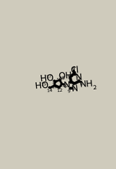 Nc1nc(Cl)cc2c1ncn2C1C=C(CO)C(O)C1O